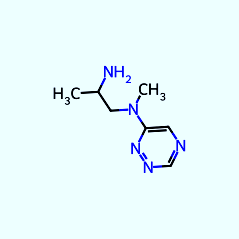 CC(N)CN(C)c1cncnn1